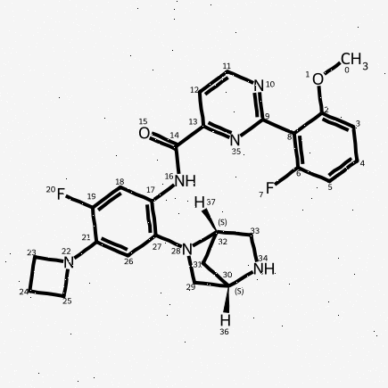 COc1cccc(F)c1-c1nccc(C(=O)Nc2cc(F)c(N3CCC3)cc2N2C[C@@H]3C[C@H]2CN3)n1